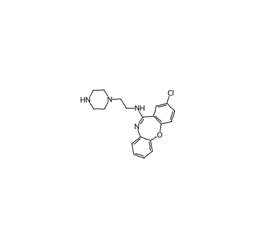 Clc1ccc2c(c1)C(NCCN1CCNCC1)=Nc1ccccc1O2